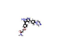 CN1CCN(c2ccc(-c3cnc4[nH]cc(-c5ccc(OCCC(=O)N(C)C)cc5)c4c3)cc2)CC1